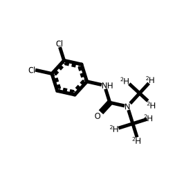 [2H]C([2H])([2H])N(C(=O)Nc1ccc(Cl)c(Cl)c1)C([2H])([2H])[2H]